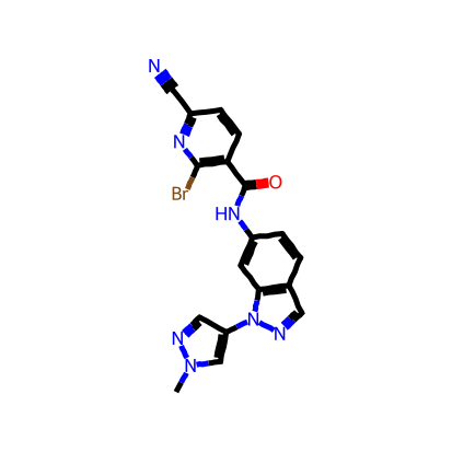 Cn1cc(-n2ncc3ccc(NC(=O)c4ccc(C#N)nc4Br)cc32)cn1